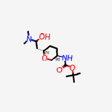 CN(C)C(O)C[C@@H]1CC[C@@H](NC(=O)OC(C)(C)C)CO1